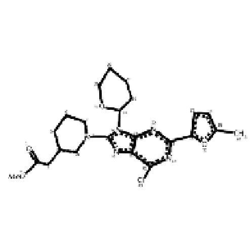 COC(=O)CC1CCCN(c2nc3c(Cl)nc(-c4ccc(C)o4)nc3n2C2CCCCO2)C1